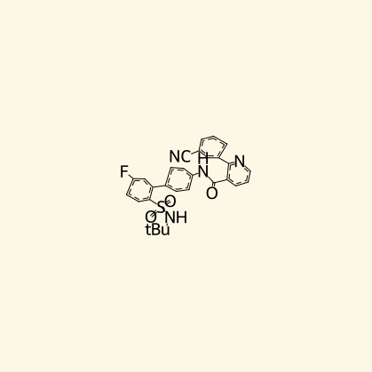 CC(C)(C)NS(=O)(=O)c1ccc(F)cc1-c1ccc(NC(=O)c2cccnc2-c2cccc(C#N)c2)cc1